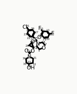 O=C(OC1([C@H]2COC[C@@H](c3cc(F)cc(F)c3)N2S(=O)(=O)c2ccc(Cl)cc2)CC1)N1CCC(O)CC1